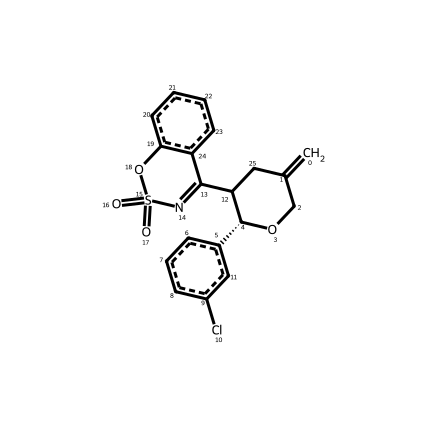 C=C1CO[C@H](c2cccc(Cl)c2)C(C2=NS(=O)(=O)Oc3ccccc32)C1